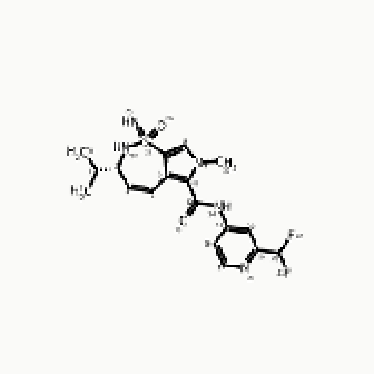 CC(C)[C@H]1C=Cc2c(cn(C)c2C(=O)Nc2ccnc(C(F)F)c2)S(=N)(=O)N1